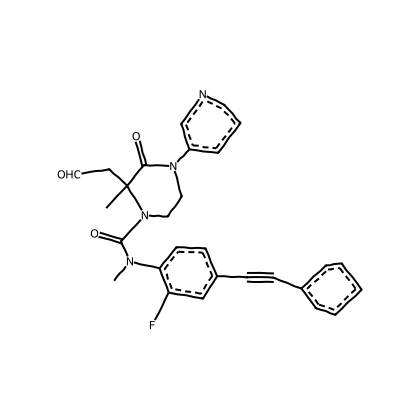 CN(C(=O)N1CCN(c2cccnc2)C(=O)C1(C)CC=O)c1ccc(C#Cc2ccccc2)cc1F